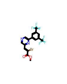 COC(=O)/C(Br)=C/c1cncc(-c2cc(C(F)(F)F)cc(C(F)(F)F)c2)n1